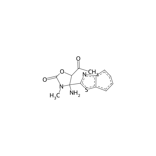 CC(=O)C1OC(=O)N(C)C1(N)c1nc2ccccc2s1